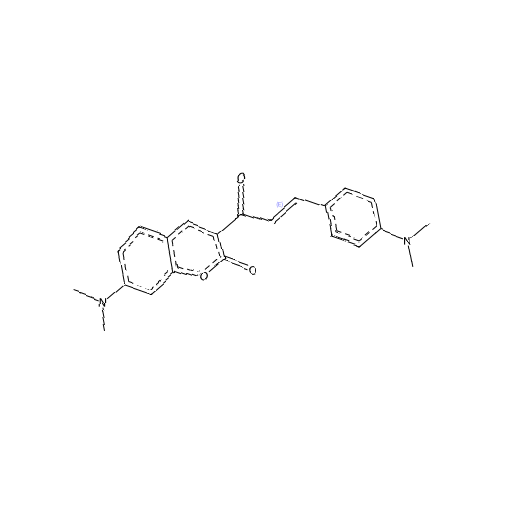 CN(C)c1ccc(/C=C/C(=O)c2cc3ccc(N(C)C)cc3oc2=O)cc1